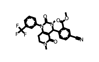 COC(=O)c1cc(C#N)ccc1C1C2=C(CCN(C)C2=O)N(c2cccc(C(F)(F)F)c2)C(=O)N1C